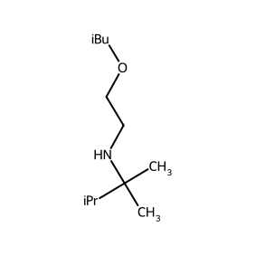 CCC(C)OCCNC(C)(C)C(C)C